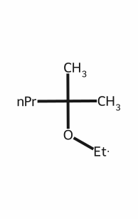 C[CH]OC(C)(C)CCC